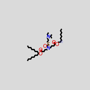 CCCCCC/C=C\COC(=O)CCCN(CCCC(=O)OC(CCCCCCC)CCCCCCC)C(=O)SCCCN(CC)C(C)C